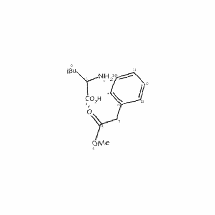 CCC(C)C(N)C(=O)O.COC(=O)Cc1ccccc1